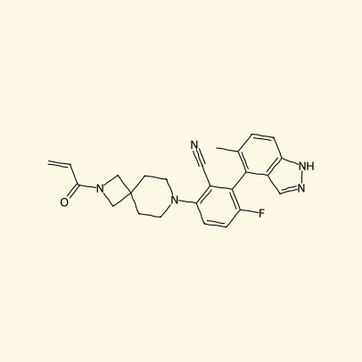 C=CC(=O)N1CC2(CCN(c3ccc(F)c(-c4c(C)ccc5[nH]ncc45)c3C#N)CC2)C1